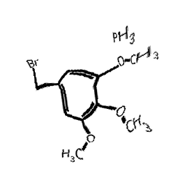 COc1cc(CBr)cc(OC)c1OC.P